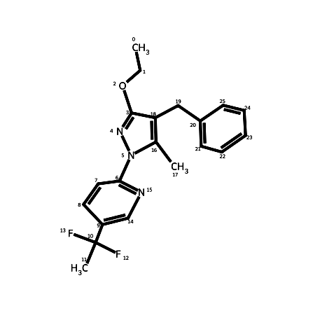 CCOc1nn(-c2ccc(C(C)(F)F)cn2)c(C)c1Cc1ccccc1